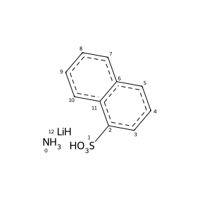 N.O=S(=O)(O)c1cccc2ccccc12.[LiH]